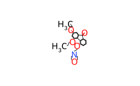 CCCOc1cc(OCC)cc2c1-c1c(OCCN3CCOCC3)cccc1C2=O